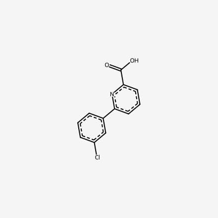 O=C(O)c1cccc(-c2cccc(Cl)c2)n1